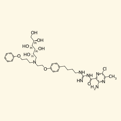 Cc1nc(N)c(C(=O)NC(=N)NCCCCc2ccc(OCCN(CCCOc3ccccc3)C[C@H](O)[C@@H](O)[C@H](O)[C@H](O)CO)cc2)nc1Cl